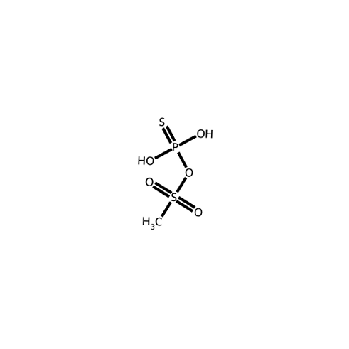 CS(=O)(=O)OP(O)(O)=S